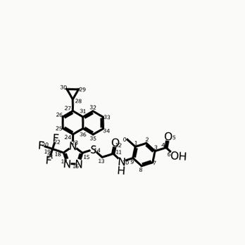 Cc1cc(C(=O)O)ccc1NC(=O)CSc1nnc(C(F)(F)F)n1-c1ccc(C2CC2)c2ccccc12